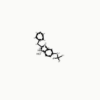 Cl.FC(F)(F)Oc1ccc2[nH]c(Cc3ccccc3)nc2c1